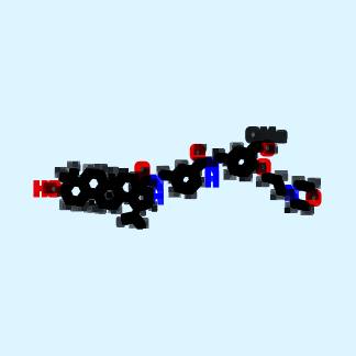 C=C(C)[C@@H]1CC[C@]2(C(=O)NCc3cccc(C(=O)NCc4ccc(OCCCN5CCOCC5)c(C(=O)OC)c4)c3)CC[C@]3(C)C(CCC4[C@@]5(C)CC[C@H](O)C(C)(C)C5CC[C@]43C)C12